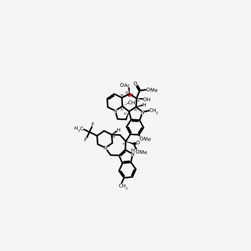 CC[C@]12C=CCN3CC[C@@]4(c5cc([C@@]6(C(=O)OC)C[C@H]7CC(C(C)(F)F)CN(Cc8c6[nH]c6ccc(C)cc86)C7)c(OC)cc5N(C)[C@H]4[C@@](O)(C(=O)OC)[C@@H]1OC(C)=O)[C@@]32C